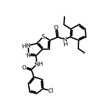 CCc1cccc(CC)c1NC(=O)c1cc2c(NC(=O)c3cccc(Cl)c3)n[nH]c2s1